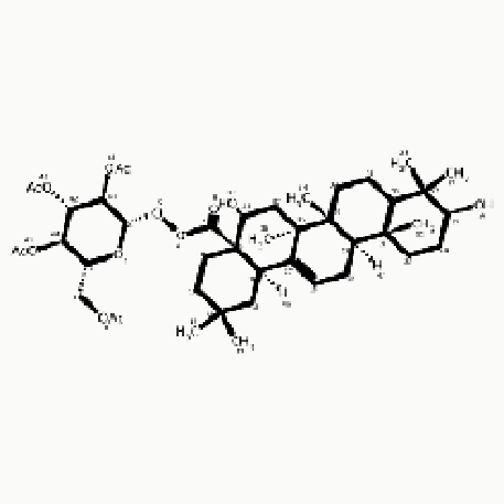 CC(=O)OC[C@H]1O[C@@H](OOC(=O)[C@]23CCC(C)(C)C[C@@H]2C2=CC[C@@H]4[C@@]5(C)CC[C@H](O)C(C)(C)C5CC[C@@]4(C)[C@]2(C)C[C@H]3O)[C@H](OC(C)=O)[C@@H](OC(C)=O)[C@@H]1OC(C)=O